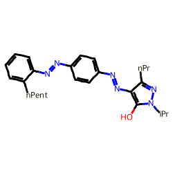 CCCCCc1ccccc1N=Nc1ccc(N=Nc2c(CCC)nn(C(C)C)c2O)cc1